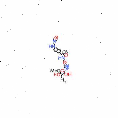 CO[C@H]1O[C@H](Cn2cc(COCCNC(=O)/C(C#N)=C/c3ccc4cc(NCCN5CCOCC5)ccc4c3)nn2)[C@@H](O)[C@H](C)[C@H]1O